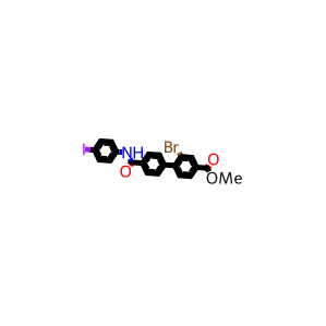 COC(=O)c1ccc(-c2ccc(C(=O)Nc3ccc(I)cc3)cc2)c(Br)c1